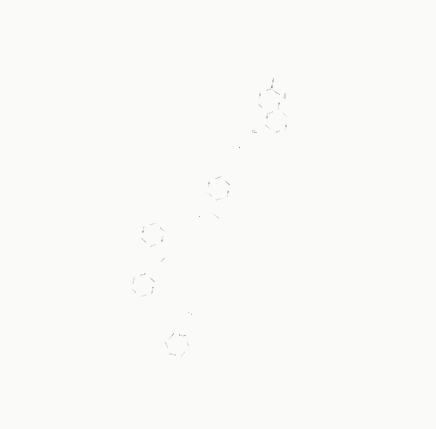 O=C(c1ccc(CCNC[C@H](O)c2ccc(O)c3[nH]c(=O)ccc23)cc1)N1CCC(c2cccc(C(O)(C(=O)OCC3CCN(Cc4ccccc4)CC3)c3ccccc3)c2)CC1